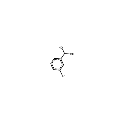 CC(=O)c1cncc(C(O)O)c1